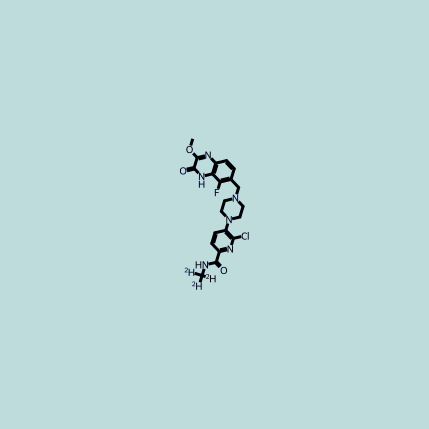 [2H]C([2H])([2H])NC(=O)c1ccc(N2CCN(Cc3ccc4nc(OC)c(=O)[nH]c4c3F)CC2)c(Cl)n1